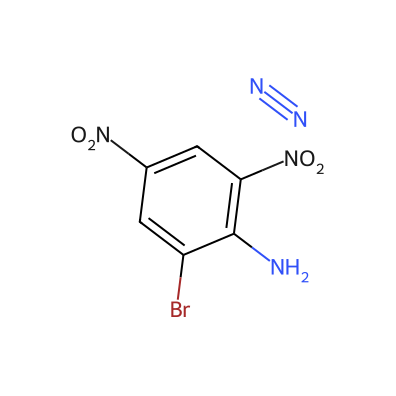 N#N.Nc1c(Br)cc([N+](=O)[O-])cc1[N+](=O)[O-]